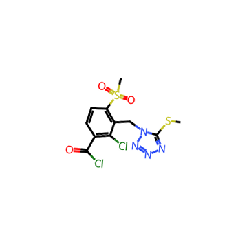 CSc1nnnn1Cc1c(S(C)(=O)=O)ccc(C(=O)Cl)c1Cl